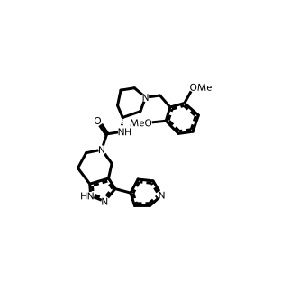 COc1cccc(OC)c1CN1CCC[C@@H](NC(=O)N2CCc3[nH]nc(-c4ccncc4)c3C2)C1